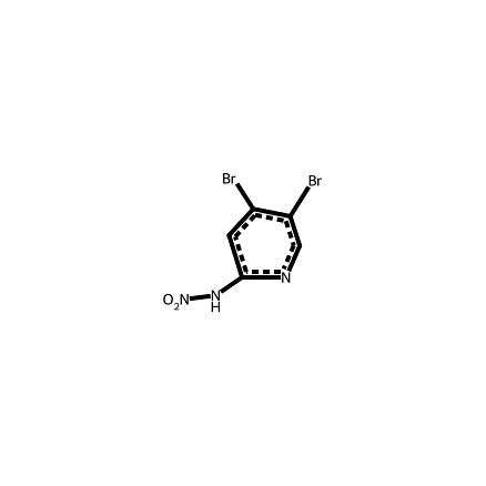 O=[N+]([O-])Nc1cc(Br)c(Br)cn1